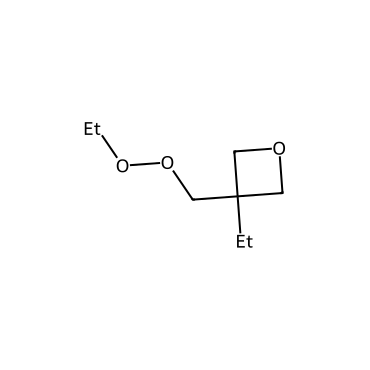 CCOOCC1(CC)COC1